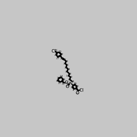 O=C(Cl)c1ccc(N(CCCCCCCCCCCC#Cc2ccc(Cl)cc2)C(=O)OCc2ccccc2)cc1